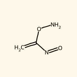 C=C(N=O)ON